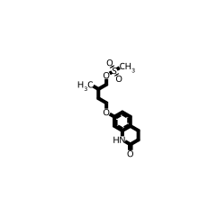 CC(CCOc1ccc2c(c1)NC(=O)CC2)COS(C)(=O)=O